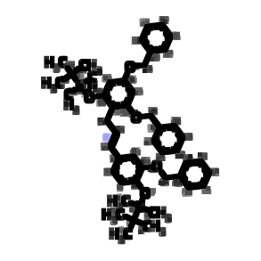 CC(C)(C)[Si](C)(C)Oc1ccc(/C=C/Cc2c(OCc3ccccc3)cc(OCc3ccccc3)cc2O[Si](C)(C)C(C)(C)C)cc1OCc1ccccc1